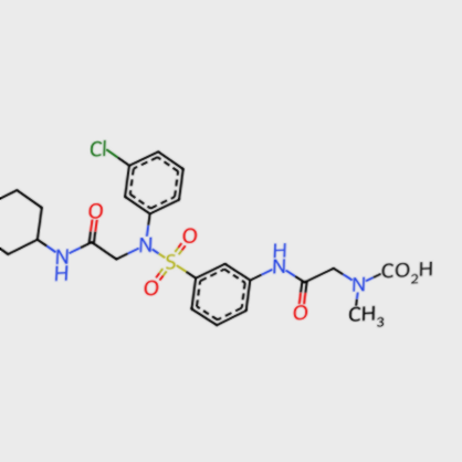 CN(CC(=O)Nc1cccc(S(=O)(=O)N(CC(=O)NC2CCCCC2)c2cccc(Cl)c2)c1)C(=O)O